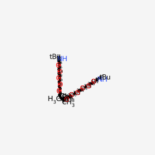 CC(C)(CCOCCOCCOCCOCCOCCNC(C)(C)C)CC(C)(C)OCCOCCOCCOCCOCCOCCNC(C)(C)C